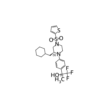 C[C@](O)(c1ccc(N2CCN(S(=O)(=O)c3cccs3)C[C@@H]2CC2CCCCC2)cc1)C(F)(F)F